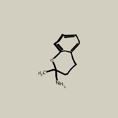 CC1(N)CCc2ccccc2O1